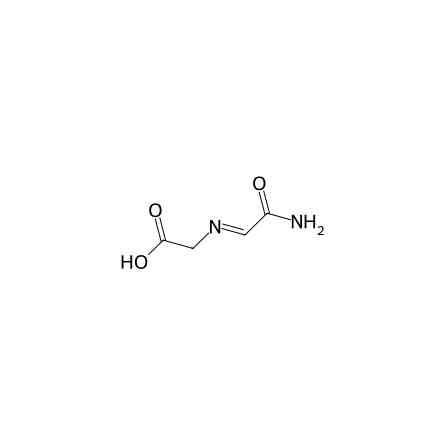 NC(=O)C=NCC(=O)O